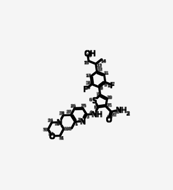 Cc1nc(Nc2sc(-c3c(F)cc(C(C)CO)cc3F)cc2C(N)=O)ccc1CN1CCOCC1